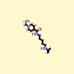 C=C(C)NCCCCCNC(=O)C1CCN(CC(C)C)CC1